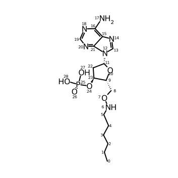 CCCCCCNOC[C@H]1O[C@@H](n2cnc3c(N)ncnc32)C[C@@H]1OP(=O)(O)O